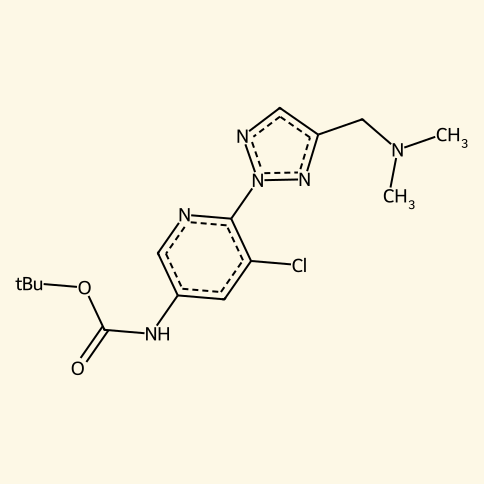 CN(C)Cc1cnn(-c2ncc(NC(=O)OC(C)(C)C)cc2Cl)n1